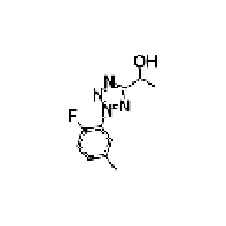 Cc1ccc(F)c(-n2nnc(C(C)O)n2)c1